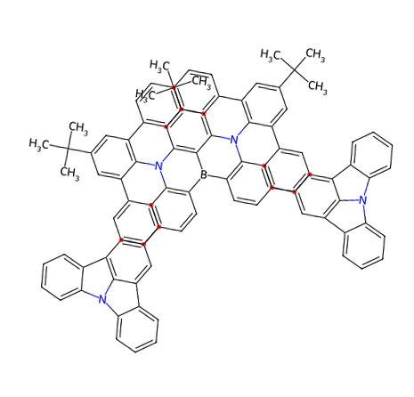 CC(C)(C)c1cc(-c2ccccc2)c(N2c3cc(-c4cc5c6ccccc6n6c7ccccc7c(c4)c56)ccc3B3c4ccc(-c5cc6c7ccccc7n7c8ccccc8c(c5)c67)cc4N(c4c(-c5ccccc5)cc(C(C)(C)C)cc4-c4ccccc4)c4cc(C(C)(C)C)cc2c43)c(-c2ccccc2)c1